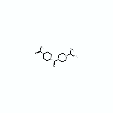 CC(C)N1CCN(C(=O)[C@H]2CC[C@H](C(N)=O)CC2)CC1